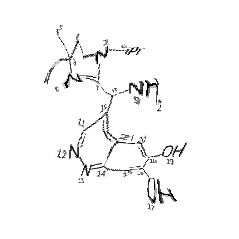 CC(C)N1CC(C)(C)N=C1C(N)c1cnnc2cc(O)c(O)cc12